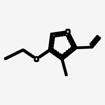 C=Cc1occ(OCC)c1C